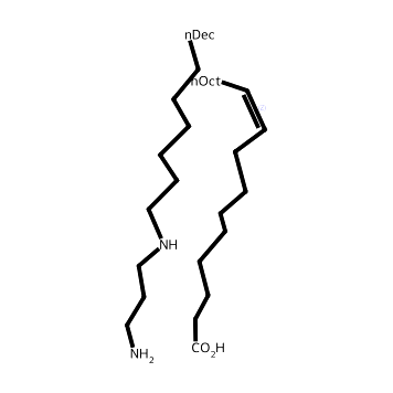 CCCCCCCC/C=C\CCCCCCCC(=O)O.CCCCCCCCCCCCCCCCNCCCN